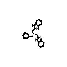 C1=CCC2=NC(CN(CC3=NC4=CC=CCC4=N3)Cc3ccccc3)=NC2=C1